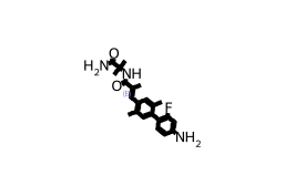 C/C(=C\c1cc(C)c(-c2ccc(N)cc2F)cc1C)C(=O)NC(C)(C)C(N)=O